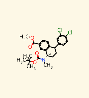 COC(=O)c1ccc2c(c1)[C@@H](N(C)C(=O)OC(C)(C)C)CCC2c1ccc(Cl)c(Cl)c1